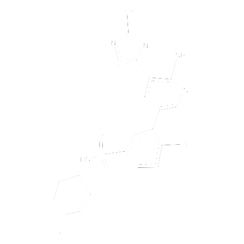 Cc1noc(-c2cc(-c3cc(S(=O)(=O)N[C@H]4CC[C@@H](O)CC4)ccc3C)cnc2N)n1